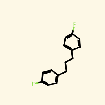 Fc1ccc(CCCc2ccc(F)cc2)cc1